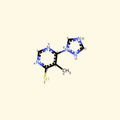 Cc1c(S)ncnc1-n1cncn1